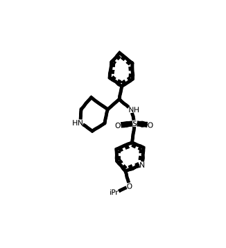 CC(C)Oc1ccc(S(=O)(=O)NC(c2ccccc2)C2CCNCC2)cn1